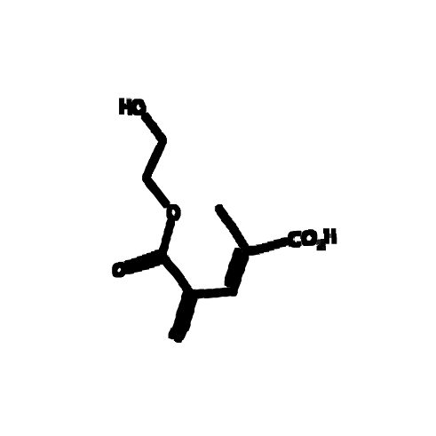 C=C(C=C(C)C(=O)O)C(=O)OCCO